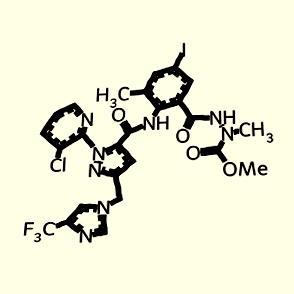 COC(=O)N(C)NC(=O)c1cc(I)cc(C)c1NC(=O)c1cc(Cn2cnc(C(F)(F)F)c2)nn1-c1ncccc1Cl